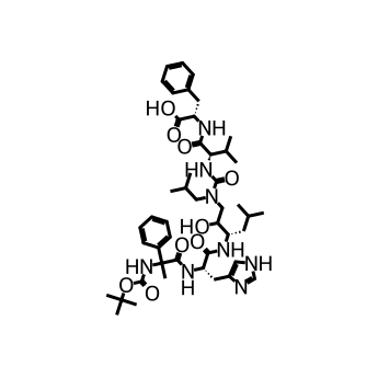 CC(C)C[C@H](NC(=O)[C@H](Cc1c[nH]cn1)NC(=O)C(C)(NC(=O)OC(C)(C)C)c1ccccc1)C(O)CN(CC(C)C)C(=O)N[C@H](C(=O)N[C@@H](Cc1ccccc1)C(=O)O)C(C)C